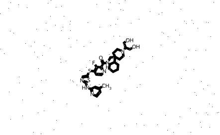 Cc1ccnc(Nc2ncc(Sc3ccnc(C(=O)NCC4(C5CCCCC5)CCN(C(CO)CO)CC4)c3F)s2)c1